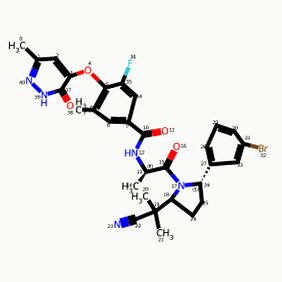 Cc1cc(Oc2c(C)cc(C(=O)N[C@H](C)C(=O)N3C(C(C)(C)C#N)CC[C@H]3c3cccc(Br)c3)cc2F)c(=O)[nH]n1